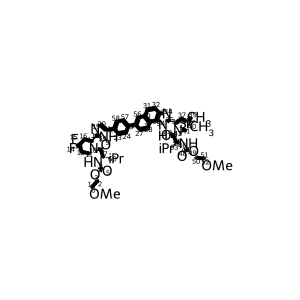 COCCOC(=O)N[C@H](C(=O)N1CCC(F)(F)C[C@H]1c1ncc(-c2ccc(-c3ccc4c(ccc5nc([C@@H]6C[Si](C)(C)CN6C(=O)[C@@H](NC(=O)OCCOC)C(C)C)[nH]c54)c3)cc2)[nH]1)C(C)C